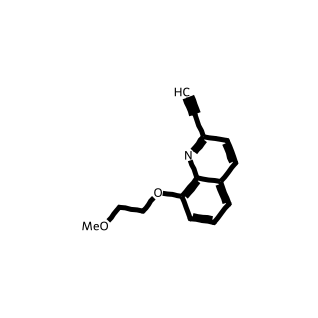 C#Cc1ccc2cccc(OCCOC)c2n1